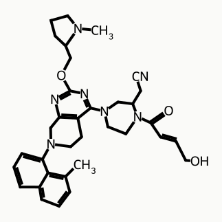 Cc1cccc2cccc(N3CCc4c(nc(OCC5CCCN5C)nc4N4CCN(C(=O)/C=C/CO)C(CC#N)C4)C3)c12